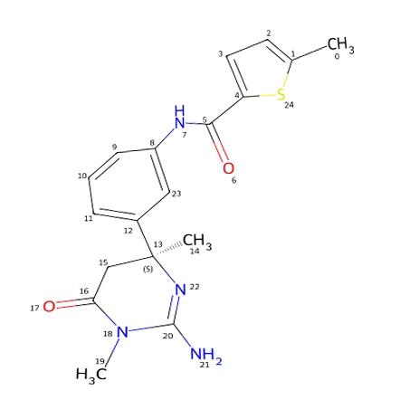 Cc1ccc(C(=O)Nc2cccc([C@]3(C)CC(=O)N(C)C(N)=N3)c2)s1